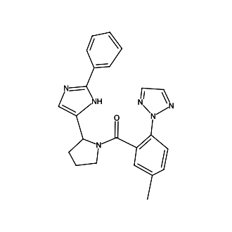 Cc1ccc(-n2nccn2)c(C(=O)N2CCCC2c2cnc(-c3ccccc3)[nH]2)c1